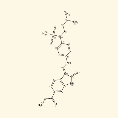 COC(=O)c1ccc2c(c1)NC(=O)/C2=C\Nc1ccc(N(CCN(C)C)S(C)(=O)=O)cc1